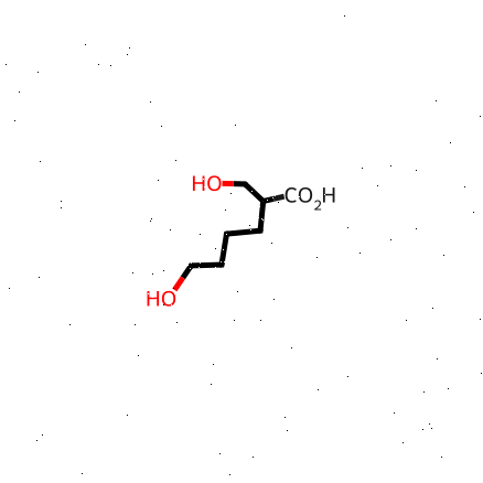 O=C(O)C(CO)CCCCO